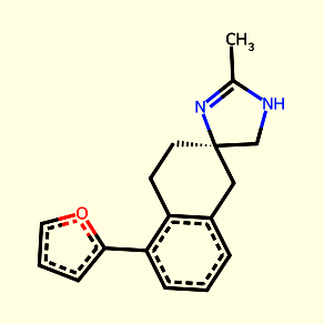 CC1=N[C@@]2(CCc3c(cccc3-c3ccco3)C2)CN1